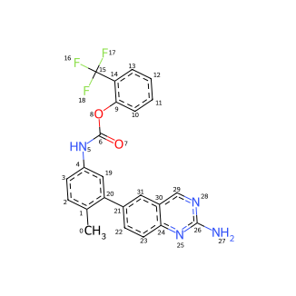 Cc1ccc(NC(=O)Oc2ccccc2C(F)(F)F)cc1-c1ccc2nc(N)ncc2c1